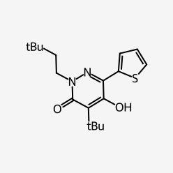 CC(C)(C)CCn1nc(-c2cccs2)c(O)c(C(C)(C)C)c1=O